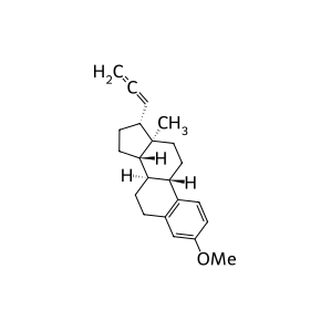 C=C=C[C@H]1CC[C@H]2[C@@H]3CCc4cc(OC)ccc4[C@H]3CC[C@]12C